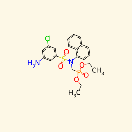 CCOP(=O)(CN(c1cccc2ccccc12)S(=O)(=O)c1cc(N)cc(Cl)c1)OCC